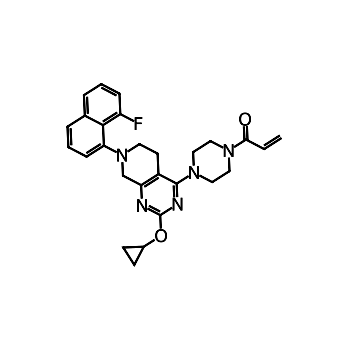 C=CC(=O)N1CCN(c2nc(OC3CC3)nc3c2CCN(c2cccc4cccc(F)c24)C3)CC1